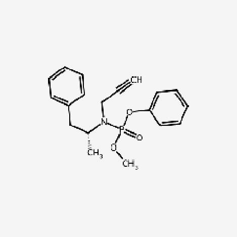 C#CCN([C@H](C)Cc1ccccc1)P(=O)(OC)Oc1ccccc1